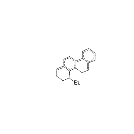 CCC1CCC=c2ccc3c(c21)CC=c1ccccc1=3